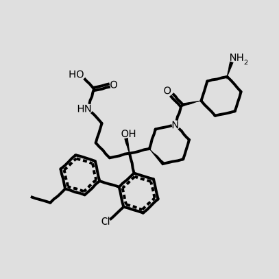 CCc1cccc(-c2c(Cl)cccc2[C@](O)(CCCNC(=O)O)[C@@H]2CCCN(C(=O)[C@@H]3CCC[C@H](N)C3)C2)c1